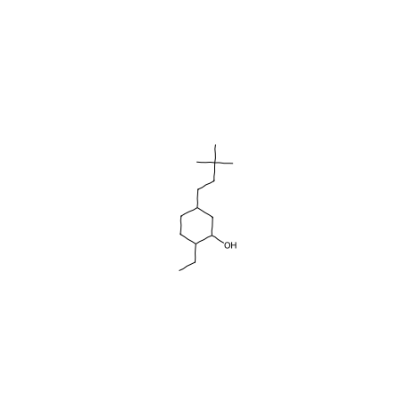 CCC1CCC(CCC(C)(C)C)CC1O